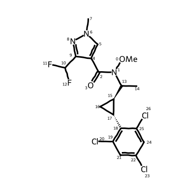 CON(C(=O)c1cn(C)nc1C(F)F)C(C)[C@@H]1C[C@H]1c1c(Cl)cc(Cl)cc1Cl